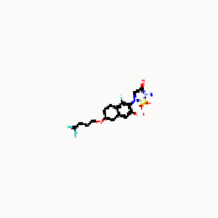 O=C1CN(c2c(O)cc3c(c2F)CCC(OCCCC(F)F)C3)S(=O)(=O)N1